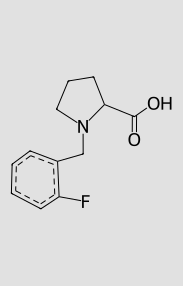 O=C(O)C1CCCN1Cc1ccccc1F